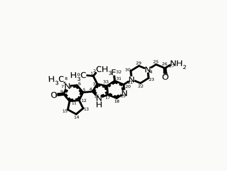 CC(C)c1c(-c2cn(C)c(=O)c3c2CCC3)[nH]c2cnc(N3CCN(CC(N)=O)CC3)c(F)c12